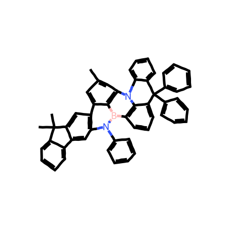 Cc1cc2c3c(c1)N1c4ccccc4C(c4ccccc4)(c4ccccc4)c4cccc(c41)B3N(c1ccccc1)c1cc3c(cc1-2)C(C)(C)c1ccccc1-3